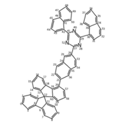 c1ccc2c(c1)-c1ccccc1C21c2ccccc2-c2c(-c3ccc4cc(-c5nc(-c6cccc7ccccc67)nc(-c6cccc7ccccc67)n5)ccc4c3)cccc21